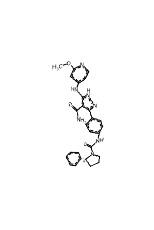 COc1cc(Nc2[nH]nc(-c3ccc(NC(=O)N4CCC[C@@H]4c4ccccc4)cc3)c2C(N)=O)ccn1